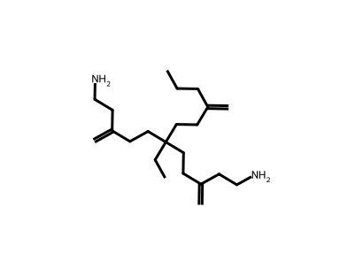 C=C(CCC)CCC(CC)(CCC(=C)CCN)CCC(=C)CCN